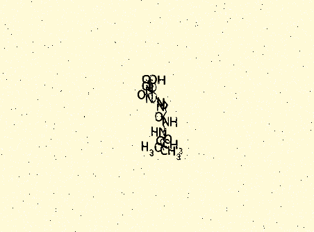 CC(C)(C)OC(=O)NCCNC(=O)Cc1ccn(C2=CC3CN(C2)C(=O)N3OS(=O)(=O)O)n1